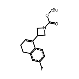 CC(C)(C)OC(=O)N1CC(C2=CCCc3cc(F)ccc32)C1